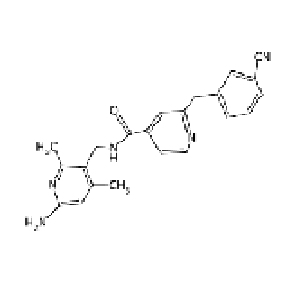 Cc1cc(N)nc(C)c1CNC(=O)c1ccnc(Cc2cccc(C#N)c2)c1